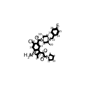 Cc1c(C(=O)C(=O)N2CCCC2)c2cc(C(=O)N3C[C@H](C)N(Cc4ccc(F)cc4)C[C@H]3C)c(Cl)cc2n1N